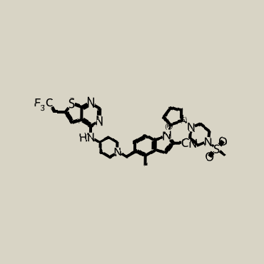 Cc1c(CN2CCC(Nc3ncnc4sc(CC(F)(F)F)cc34)CC2)ccc2c1cc(C#N)n2[C@@H]1CCC[C@@H]1N1CCN(S(C)(=O)=O)CC1